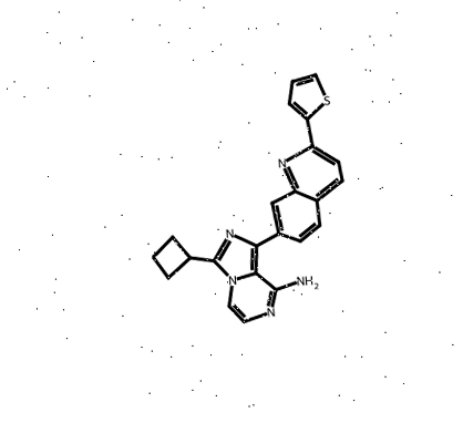 Nc1nccn2c(C3CCC3)nc(-c3ccc4ccc(-c5cccs5)nc4c3)c12